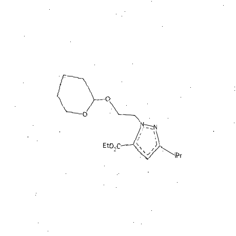 CCOC(=O)c1cc(C(C)C)nn1CCOC1CCCCO1